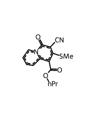 CCCOC(=O)c1c(SC)c(C#N)c(=O)n2ccccc12